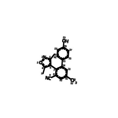 Cc1noc(C)c1-c1c(C#N)cc(C(F)(F)F)cc1-c1ccc(O)cc1